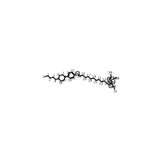 CCCCCC1CCC(c2ccc(OCCCCCCCCCCC[Si](OCC)(OCC)OCC)cc2)CC1